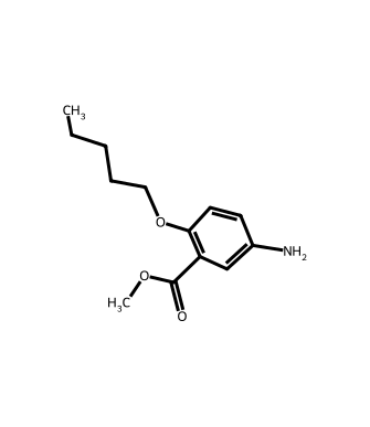 CCCCCOc1ccc(N)cc1C(=O)OC